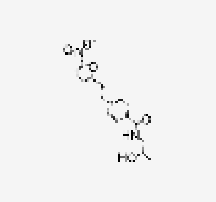 CC(O)CNC(=O)c1ccc(C=Cc2ccc([N+](=O)[O-])o2)cc1